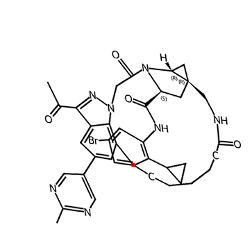 CC(=O)c1nn2c3c(cc(-c4cnc(C)nc4)cc13)CCCCCCC(=O)NC[C@@]13C[C@@H](C(=O)Nc4cc(Br)ccc4C4CC4)N(C(=O)C2)[C@@H]1C3